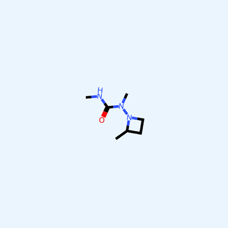 CNC(=O)N(C)N1CCC1C